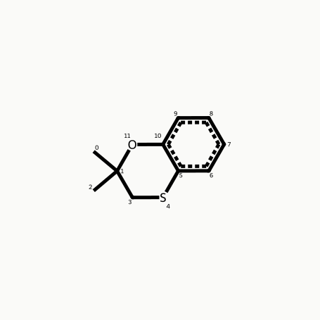 CC1(C)CSc2ccccc2O1